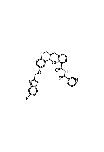 O=C(NC(=S)c1cccnc1)c1cccc(CC2COc3ccc(OCc4nc5cc(F)ccc5s4)cc3C2O)c1